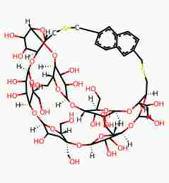 OC[C@H]1O[C@@H]2O[C@H]3C(O)C(O)[C@@H]4O[C@@H]3CSCc3ccc5cc(ccc5c3)CSC[C@H]3O[C@H](O[C@H]5C(O)C(O)[C@H](O[C@@H]5CO)O[C@@]5(CO)CC(O)[C@@H](O[C@H]1C(O)C2O)O[C@@H]5CO)C(O)C(O)[C@@H]3O[C@@H]1O[C@H](CO)[C@@H](O[C@H]2O[C@H](CO)[C@@H](O4)C(O)C2O)C(O)C1O